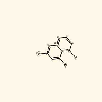 Brc1cc(Br)c2c(Br)cccc2c1